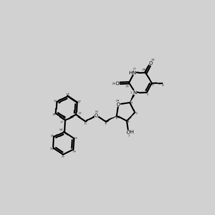 Cc1cn([C@H]2CC(O)[C@@H](COCc3ccccc3-c3ccccc3)O2)c(=O)[nH]c1=O